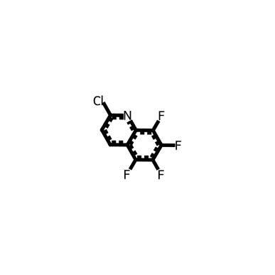 Fc1c(F)c(F)c2nc(Cl)ccc2c1F